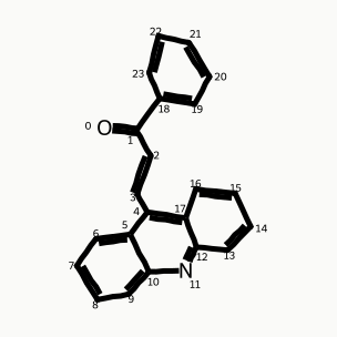 O=C(C=Cc1c2ccccc2nc2ccccc12)c1ccccc1